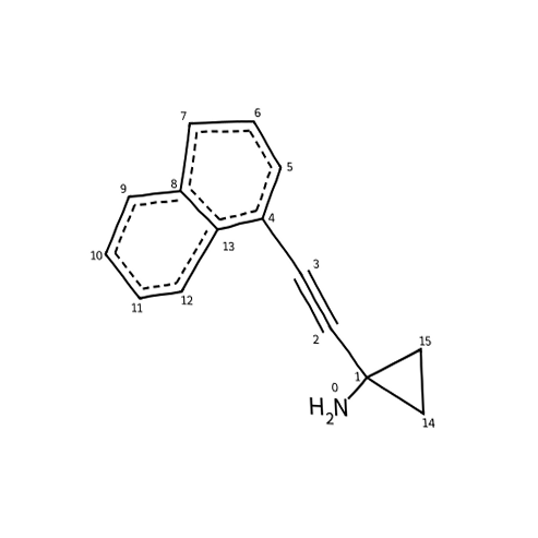 NC1(C#Cc2cccc3ccccc23)CC1